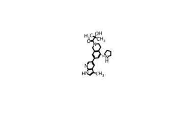 Cc1c[nH]c2ncc(-c3cc4c(c([C@@H]5CCCN5)c3)CCN(C(=O)C(C)(C)O)C4)cc12